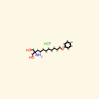 Cl.NC(CO)(CO)CCCCCCCCCOc1ccccc1